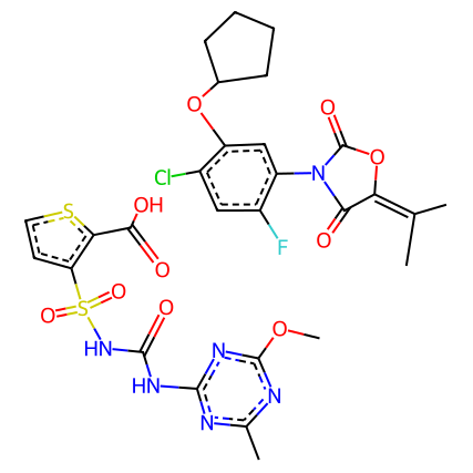 CC(C)=C1OC(=O)N(c2cc(OC3CCCC3)c(Cl)cc2F)C1=O.COc1nc(C)nc(NC(=O)NS(=O)(=O)c2ccsc2C(=O)O)n1